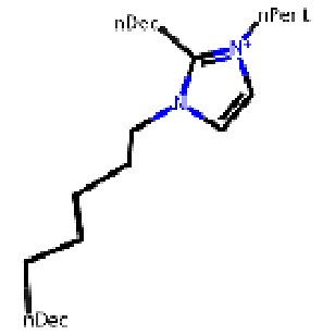 CCCCCCCCCCCCCCCn1cc[n+](CCCCC)c1CCCCCCCCCC